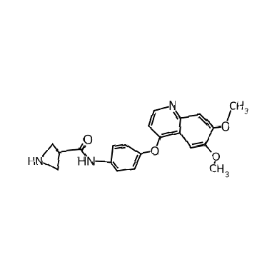 COc1cc2nccc(Oc3ccc(NC(=O)C4CNC4)cc3)c2cc1OC